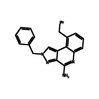 CC(C)Cc1cccc2nc(N)c3nn(Cc4ccccc4)cc3c12